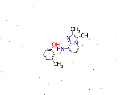 Cc1cccc(O)c1CNc1cccn2c(C)c(C)nc12